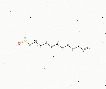 C=CCCCCCCCCCC[S+]=O